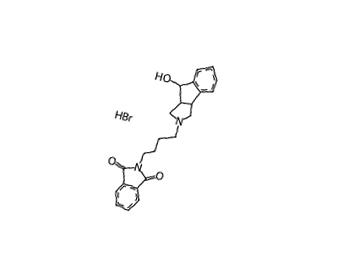 Br.O=C1c2ccccc2C(=O)N1CCCCN1CC2c3ccccc3C(O)C2C1